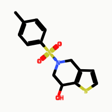 Cc1ccc(S(=O)(=O)N2Cc3ccsc3C(O)C2)cc1